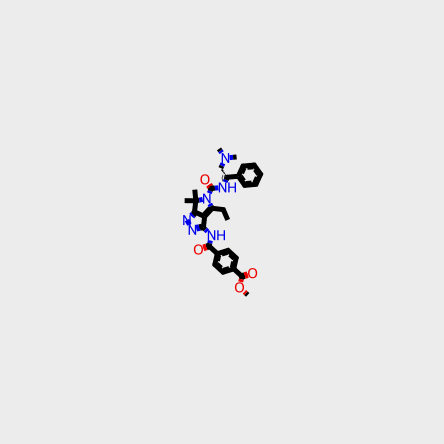 CCC1=C2C(NC(=O)c3ccc(C(=O)OC)cc3)=NN=C2C(C)(C)N1C(=O)N[C@H](CN(C)C)c1ccccc1